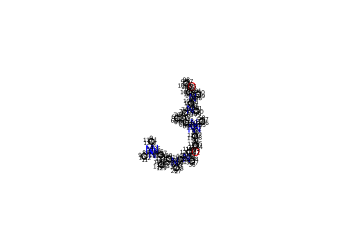 c1ccc(-c2nc(-c3ccccc3)nc(-c3ccc4c5ccc(-n6c7ccccc7c7cc(-n8c9ccccc9c9c%10oc%11ccc(-c%12ccc(-c%13nc(-c%14ccccc%14)nc(-c%14ccc%15c%16ccccc%16c%16ccc(-n%17c%18ccccc%18c%18cc(-n%19c%20ccccc%20c%20c%21oc%22ccccc%22c%21ccc%20%19)ccc%18%17)cc%16c%15c%14)n%13)cc%12)cc%11c%10ccc98)ccc76)cc5c5ccccc5c4c3)n2)cc1